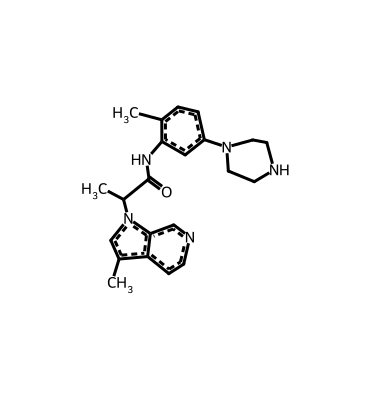 Cc1ccc(N2CCNCC2)cc1NC(=O)C(C)n1cc(C)c2ccncc21